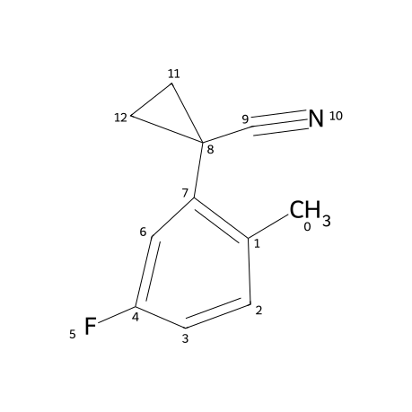 Cc1ccc(F)cc1C1(C#N)CC1